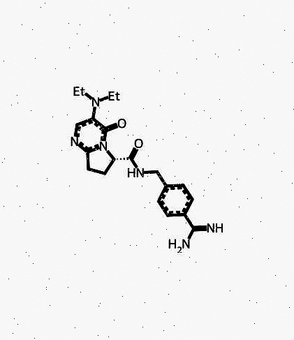 CCN(CC)c1cnc2n(c1=O)[C@H](C(=O)NCc1ccc(C(=N)N)cc1)CC2